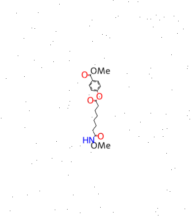 CONC(=O)CCCCCCC(=O)Oc1ccc(C(=O)OC)cc1